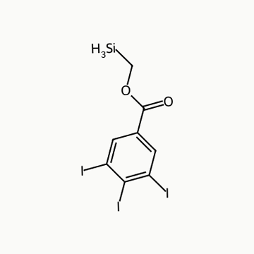 O=C(OC[SiH3])c1cc(I)c(I)c(I)c1